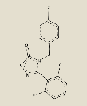 O=c1onc(-c2c(F)cccc2Cl)n1Cc1ccc(F)cc1